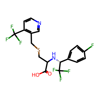 O=C(O)C(CSCc1cnccc1C(F)(F)F)N[C@H](c1ccc(F)cc1)C(F)(F)F